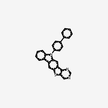 c1ccc(-c2ccc(-n3c4ccccc4c4cc5sc6cncnc6c5cc43)cc2)cc1